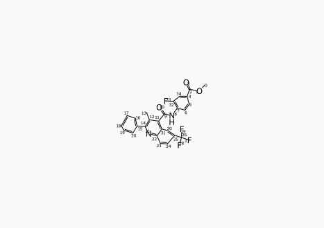 COC(=O)c1ccc(NC(=O)c2c(C)c(-c3ccccc3)nc3ccc(C(F)(F)F)cc23)c(F)c1